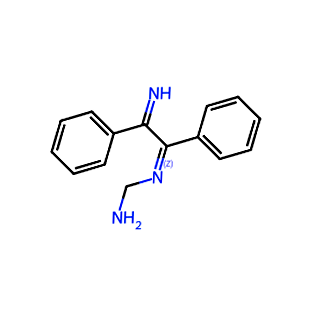 N=C(/C(=N\CN)c1ccccc1)c1ccccc1